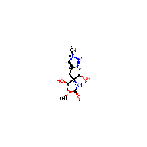 CC(C)(C)OC(=O)NC(CO)(CO)Cc1cn(C#N)nn1